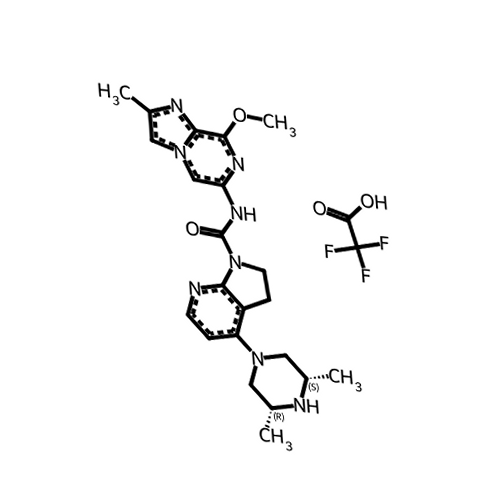 COc1nc(NC(=O)N2CCc3c(N4C[C@@H](C)N[C@@H](C)C4)ccnc32)cn2cc(C)nc12.O=C(O)C(F)(F)F